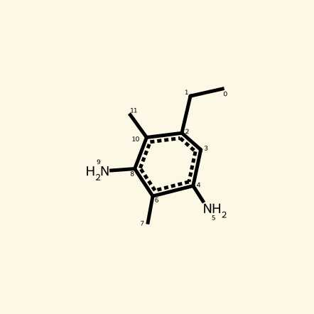 CCc1cc(N)c(C)c(N)c1C